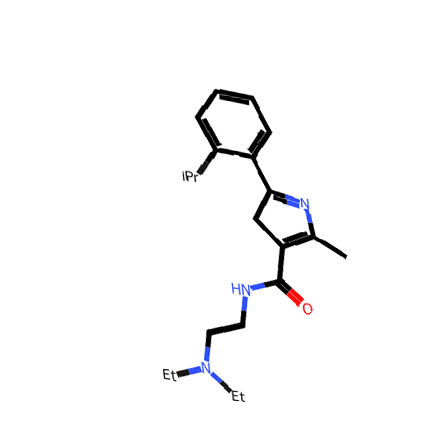 CCN(CC)CCNC(=O)C1=C(C)N=C(c2ccccc2C(C)C)C1